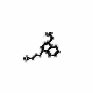 C=Cc1ccc(CCCC)c2ccccc12